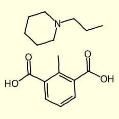 CCCN1CCCCC1.Cc1c(C(=O)O)cccc1C(=O)O